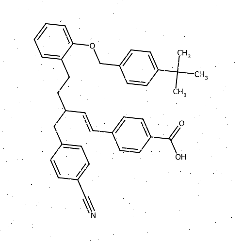 CC(C)(C)c1ccc(COc2ccccc2CCC(C=Cc2ccc(C(=O)O)cc2)Cc2ccc(C#N)cc2)cc1